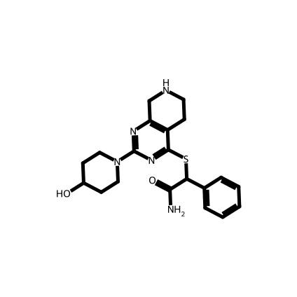 NC(=O)C(Sc1nc(N2CCC(O)CC2)nc2c1CCNC2)c1ccccc1